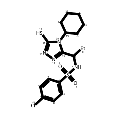 CCC(NS(=O)(=O)c1ccc(Cl)cc1)c1nnc(S)n1C1CCCCC1